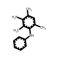 Cc1cc(C)c(Nc2ccccc2)c(C)c1N